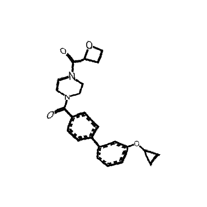 O=C(c1ccc(-c2cccc(OC3CC3)c2)cc1)N1CCN(C(=O)C2CCO2)CC1